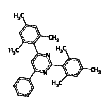 Cc1cc(C)c(-c2cc(-c3ccccc3)nc(-c3c(C)cc(C)cc3C)n2)c(C)c1